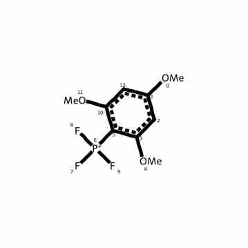 COc1cc(OC)c([P+](F)(F)F)c(OC)c1